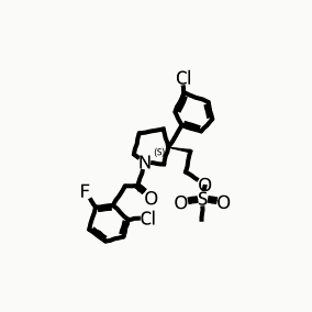 CS(=O)(=O)OCC[C@]1(c2cccc(Cl)c2)CCCN(C(=O)Cc2c(F)cccc2Cl)C1